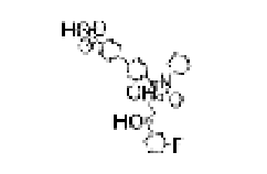 O=C1[C@H](CC[C@H](O)c2cccc(F)c2)[C@@H](c2ccc(-c3ccc(S(=O)(=O)O)cc3)cc2O)N1c1ccccc1